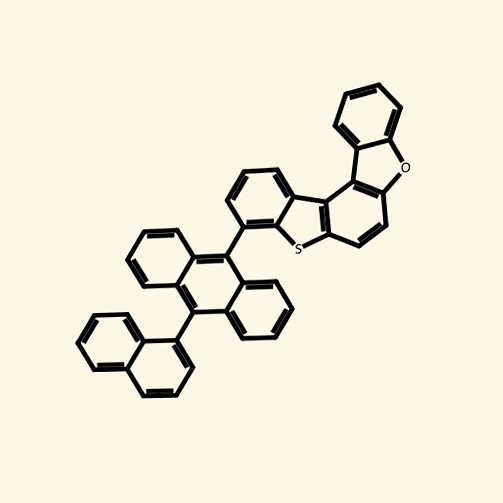 c1ccc2c(-c3c4ccccc4c(-c4cccc5c4sc4ccc6oc7ccccc7c6c45)c4ccccc34)cccc2c1